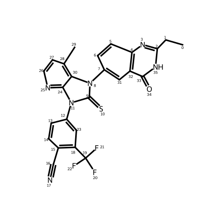 CCc1nc2ccc(-n3c(=S)n(-c4ccc(C#N)c(C(F)(F)F)c4)c4nccc(C)c43)cc2c(=O)[nH]1